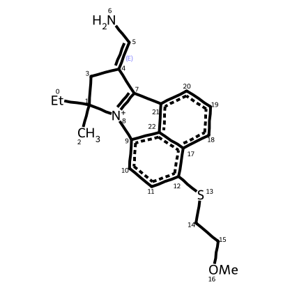 CCC1(C)C/C(=C\N)C2=[N+]1c1ccc(SCCOC)c3cccc2c13